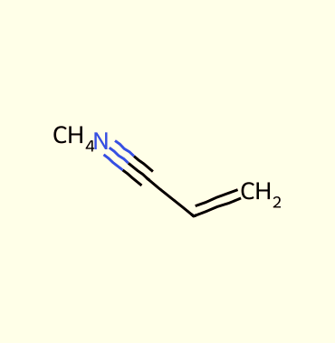 C.C=CC#N